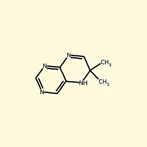 CC1(C)C=Nc2ncncc2N1